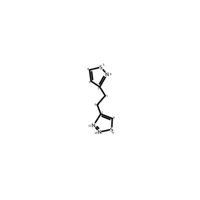 [CH](Cc1ccsn1)c1csnn1